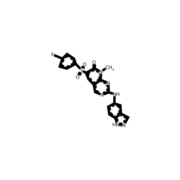 Cn1c(=O)c(S(=O)(=O)c2ccc(F)cc2)cc2cnc(Nc3ccc4[nH]ncc4c3)nc21